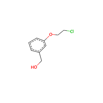 OCc1cccc(OCCCl)c1